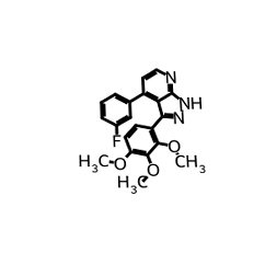 COc1ccc(-c2n[nH]c3nccc(-c4cccc(F)c4)c23)c(OC)c1OC